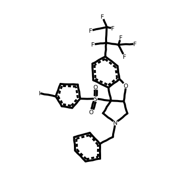 O=S(=O)(c1ccc(I)cc1)C12CN(Cc3ccccc3)CC1Oc1cc(C(F)(C(F)(F)F)C(F)(F)F)ccc12